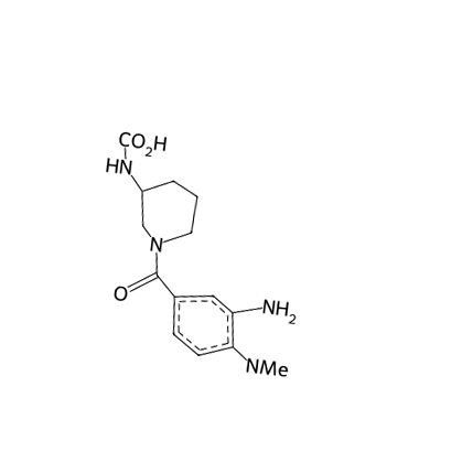 CNc1ccc(C(=O)N2CCCC(NC(=O)O)C2)cc1N